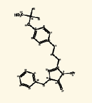 CCCn1c(CCCc2ccc(OC(C)(C)C(=O)O)cc2)nn(Cc2ccccc2)c1=O